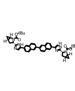 CC(C)(C)OC(=O)N1[C@@H]2C[C@@H]2C[C@H]1c1nc(-c2ccc3cc(-c4ccc5cc(-c6cnc([C@@H]7C[C@H]8C[C@H]8N7C(=O)OC(C)(C)C)[nH]6)ccc5c4)ccc3c2)c[nH]1